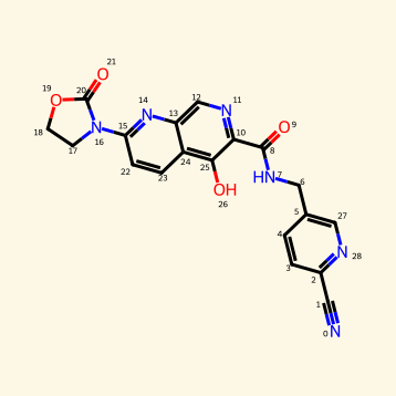 N#Cc1ccc(CNC(=O)c2ncc3nc(N4CCOC4=O)ccc3c2O)cn1